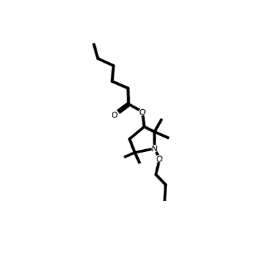 CCCCCC(=O)OC1CC(C)(C)N(OCCC)C1(C)C